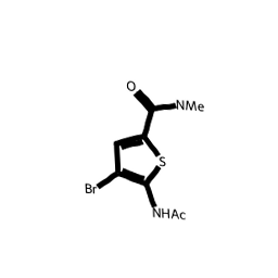 CNC(=O)c1cc(Br)c(NC(C)=O)s1